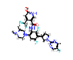 CC1CN(c2cc(F)c(C3=CCN(c4ncc(F)cn4)C3)c(F)c2NC(=O)c2c[nH]c(=O)cc2C(F)F)CCN1C